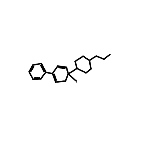 CCCC1CCC(C2(I)C=CC(c3ccccc3)=CC2)CC1